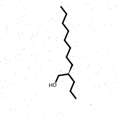 CCCCCCCC[C@H](CO)CCC